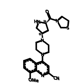 COc1cccc2c(N3CCN([C@@H]4CN[C@H](C(=O)N5CCSC5)C4)CC3)cc(C#N)nc12